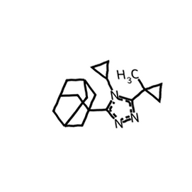 CC1(c2nnc(C34CC5CC(CC(C5)C3)C4)n2C2CC2)CC1